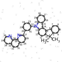 CC1(C)c2ccccc2-c2c1ccc1c2c2ccccc2n1-c1cccc(-c2ccc3ccc4cccnc4c3n2)c1